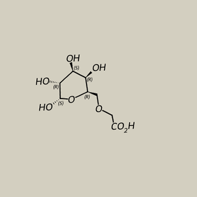 O=C(O)COC[C@H]1O[C@H](O)[C@H](O)[C@@H](O)[C@H]1O